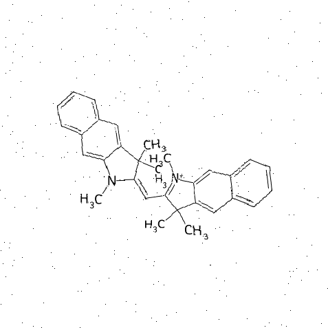 CN1/C(=C/C2=[N+](C)c3cc4ccccc4cc3C2(C)C)C(C)(C)c2cc3ccccc3cc21